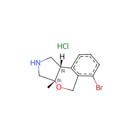 C[C@@]12CNC[C@@H]1c1cccc(Br)c1CO2.Cl